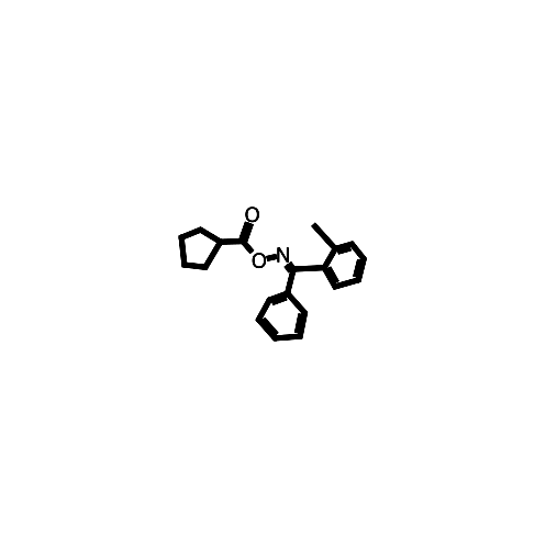 Cc1ccccc1C(=NOC(=O)C1CCCC1)c1ccccc1